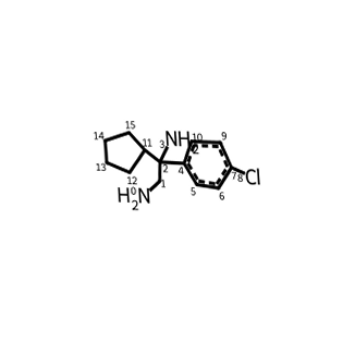 NCC(N)(c1ccc(Cl)cc1)C1CCCC1